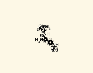 COC(=O)c1nc(NC(=O)c2cc(-c3ccc(NC(=O)OC(C)(C)C)cc3)cn2C)cn1C